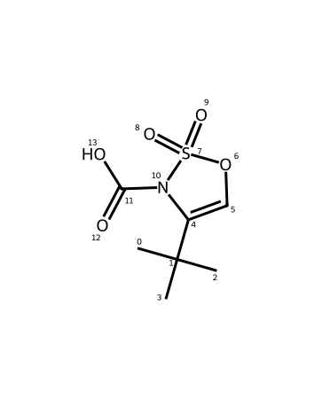 CC(C)(C)C1=COS(=O)(=O)N1C(=O)O